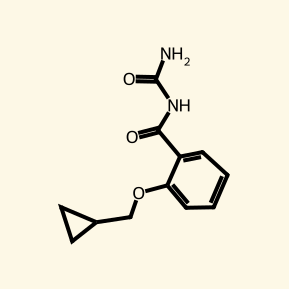 NC(=O)NC(=O)c1ccccc1OCC1CC1